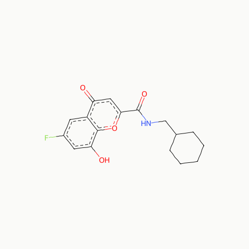 O=C(NCC1CCCCC1)c1cc(=O)c2cc(F)cc(O)c2o1